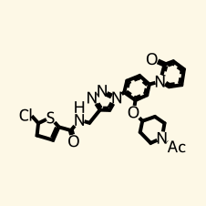 CC(=O)N1CCC(Oc2cc(-n3ccccc3=O)ccc2-n2cc(CNC(=O)C3=CCC(Cl)S3)nn2)CC1